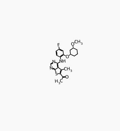 CO[C@H]1CCC[C@@H](Oc2cc(F)ccc2Nc2ncnc3sc(C(C)=O)c(C)c23)C1